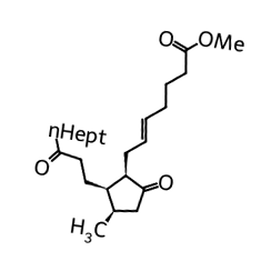 CCCCCCCC(=O)CC[C@@H]1[C@H](C)CC(=O)[C@@H]1CC=CCCCC(=O)OC